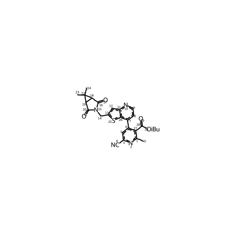 Cc1nc(C#N)cc(-c2ccnc3cc(CN4C(=O)C5C(C4=O)C5(C)C)sc23)c1C(=O)OCC(C)C